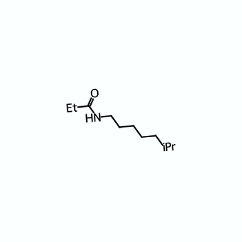 CCC(=O)NCCCCCC(C)C